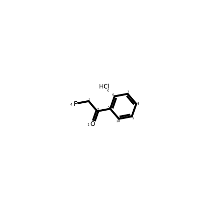 Cl.O=C(CF)c1ccccc1